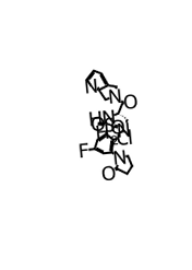 NC[C@H](NS(=O)(=O)c1cc(F)cc(N2CCCC2=O)c1Cl)C(=O)N1Cc2cccnc2C1